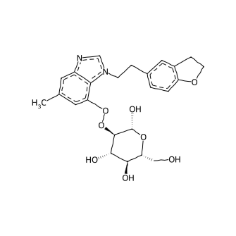 Cc1cc(OO[C@@H]2[C@@H](O)[C@H](O)[C@@H](CO)O[C@H]2O)c2c(c1)ncn2CCc1ccc2c(c1)CCO2